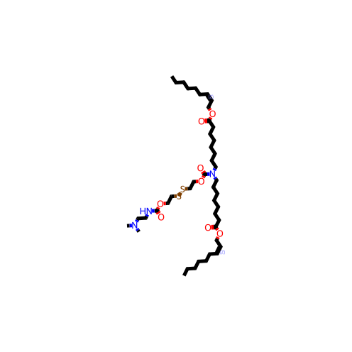 CCCCCC/C=C\COC(=O)CCCCCCCN(CCCCCCCC(=O)OC/C=C\CCCCCC)C(=O)OCCSSCCOC(=O)NCCN(C)C